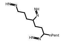 CCCCCC(CCC(CCCN=N)N=N)N=N